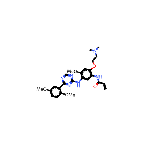 C=CC(=O)Nc1cc(Nc2ncnc(-c3cc(OC)ccc3OC)n2)c(OC)cc1OCCN(C)C